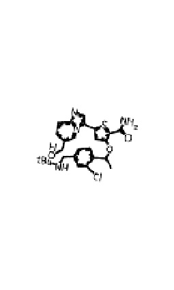 CC(Oc1cc(-c2cnc3ccc(CO)cn23)sc1C(N)=O)c1ccc(CNC(C)(C)C)cc1Cl